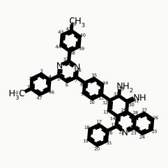 Cc1ccc(-c2cc(-c3ccc(C4=Cc5c(-c6ccccc6)nc6ccccc6c5C(=N)C4N)cc3)nc(-c3ccc(C)cc3)n2)cc1